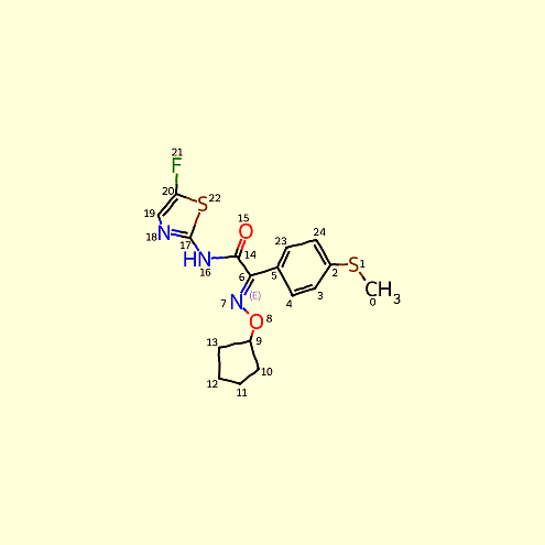 CSc1ccc(/C(=N\OC2CCCC2)C(=O)Nc2ncc(F)s2)cc1